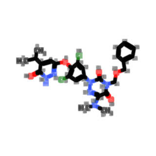 CC(C)c1cc(Oc2c(Cl)cc(-n3nc(N(C)C)c(=O)n(COCc4ccccc4)c3=O)cc2Cl)n[nH]c1=O